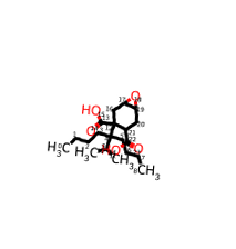 CCCCC(CCCC)(C(C)C)C1(C(=O)O)CC2OC2CC1C(=O)O